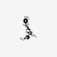 Cc1ccc(S(=O)(=O)OC[C@@H](F)Cn2nc(C)n(-c3ccn(C)n3)c2=O)cc1